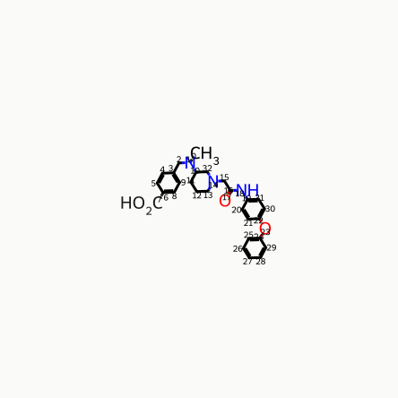 CN(Cc1ccc(C(=O)O)cc1)C1CCCN(CC(=O)Nc2ccc(Oc3ccccc3)cc2)C1